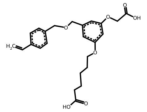 C=Cc1ccc(COCc2cc(OCCCCCC(=O)O)cc(OCC(=O)O)c2)cc1